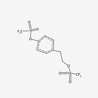 O=S(=O)(OCCc1ccc(OS(=O)(=O)C(F)(F)F)cc1)C(F)(F)F